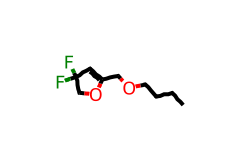 CCCCOCC1=CC(F)(F)CO1